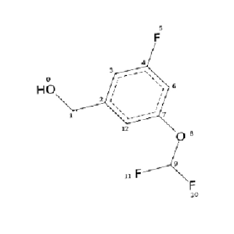 O[CH]c1cc(F)cc(OC(F)F)c1